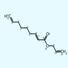 C=CCCCC/C=C/C(=O)OCC=C